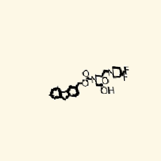 O=C(O)CN(CCCN1CCC(F)(F)CC1)C(=O)OCc1ccc2c(c1)-c1ccccc1C2